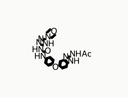 CC(=O)Nc1nc2cc(Oc3ccc(NC(=O)Nc4nnc(N5CCOCC5)[nH]4)cc3)ccc2[nH]1